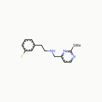 CSc1nccc(CNCCc2cccc(F)c2)n1